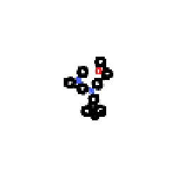 c1ccc(-n2c3ccccc3c3ccc(N(c4ccc(-c5cccc6c5oc5ccccc56)cc4)c4ccc5c(c4)-c4ccccc4C54CCC5CC6CC4C6C5)cc32)cc1